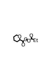 CCC(=O)OOC(=O)C1CCCCO1